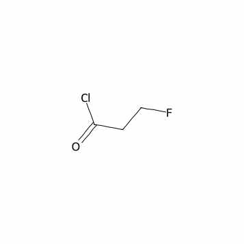 O=C(Cl)CCF